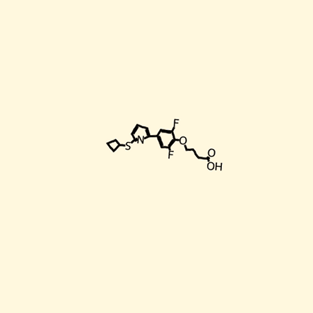 O=C(O)CCCOc1c(F)cc(-c2cccc(SC3CCC3)n2)cc1F